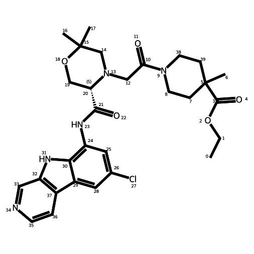 CCOC(=O)C1(C)CCN(C(=O)CN2CC(C)(C)OC[C@H]2C(=O)Nc2cc(Cl)cc3c2[nH]c2cnccc23)CC1